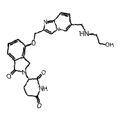 O=C1CCC(N2Cc3c(OCc4cn5cc(CNCCO)ccc5n4)cccc3C2=O)C(=O)N1